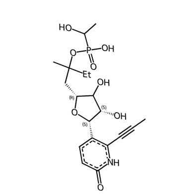 CC#Cc1[nH]c(=O)ccc1[C@@H]1O[C@H](CC(C)(CC)OP(=O)(O)C(C)O)C(O)[C@@H]1O